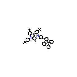 Cc1cc2c3c(c1)N(c1ccc(-c4ccc5c(c4)C(c4ccccc4)(c4ccccc4)c4ccccc4-5)cc1)c1cc(C(C)(C)C)ccc1B3c1cc(C(C)(C)C)ccc1N2c1ccc(C(C)(C)C)cc1